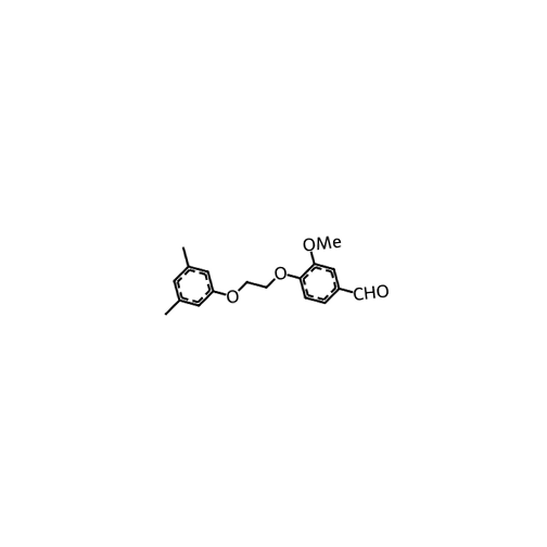 COc1cc(C=O)ccc1OCCOc1cc(C)cc(C)c1